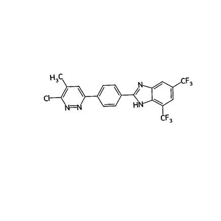 Cc1cc(-c2ccc(-c3nc4cc(C(F)(F)F)cc(C(F)(F)F)c4[nH]3)cc2)nnc1Cl